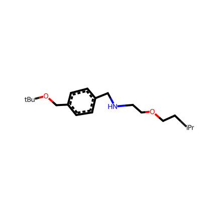 CC(C)CCOCCNCc1ccc(COC(C)(C)C)cc1